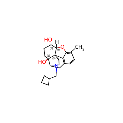 Cc1ccc2c3c1O[C@H]1[C@@H](O)CC[C@@]4(O)C(C2)N(CC2CCC2)CC[C@]314